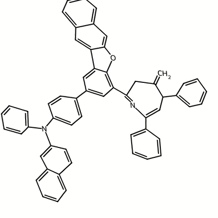 C=C1CC(c2cc(-c3ccc(N(c4ccccc4)c4ccc5ccccc5c4)cc3)cc3c2oc2cc4ccccc4cc23)=NC(c2ccccc2)=CC1c1ccccc1